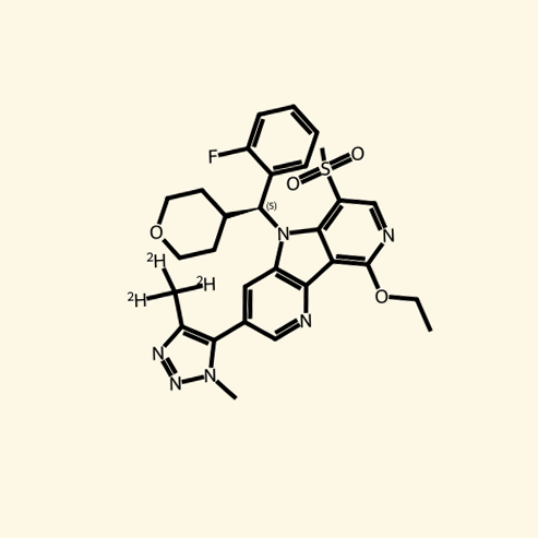 [2H]C([2H])([2H])c1nnn(C)c1-c1cnc2c3c(OCC)ncc(S(C)(=O)=O)c3n([C@H](c3ccccc3F)C3CCOCC3)c2c1